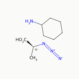 C[C@H](N=[N+]=[N-])C(=O)O.NC1CCCCC1